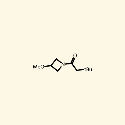 COC1CN(C(=O)CC(C)(C)C)C1